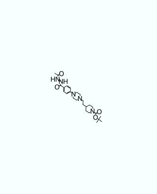 CC(=O)NNC(=O)c1ccc(N2CCN(CCC3CCN(C(=O)OC(C)(C)C)CC3)CC2)cc1